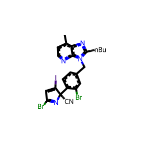 CCCCc1nc2c(C)ccnc2n1Cc1ccc(C2(C#N)N=C(Br)C=C2I)c(Br)c1